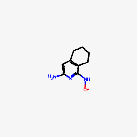 Nc1cc2c(c(NO)n1)CCCC2